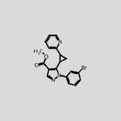 COC(=O)c1cnn(-c2cccc(Br)c2)c1C1CC1c1ccccn1